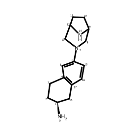 N[C@H]1CCc2cc(N3CC4CCC(C3)N4)ccc2C1